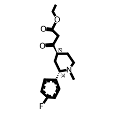 CCOC(=O)CC(=O)[C@H]1CCN(C)[C@H](c2ccc(F)cc2)C1